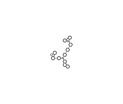 c1cc(-c2ccc(-c3ccc(N(c4ccc(-c5cccc6oc7ccccc7c56)cc4)c4ccc5c(ccc6ccccc65)c4)cc3)cc2)cc(-n2c3ccccc3c3ccccc32)c1